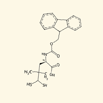 CC(C)(C[C@@H](NC(=O)OCC1c2ccccc2-c2ccccc21)C(=O)O)C(S)S